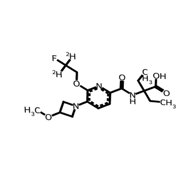 [2H]C([2H])(F)COc1nc(C(=O)NC(CC)(CC)C(=O)O)ccc1N1CC(OC)C1